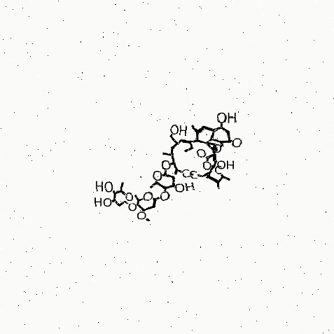 CC/C1=C\C(CO)CC(C)C(OC2CC(O)C(OC3CC(OC)C(OC4CC(O)C(O)C(C)O4)C(C)O3)C(C)O2)C(C)CCCC2(C)C=C(C)C(C)CC23OC(=O)C(=C3O)C(=O)C2(CC)C1C(C)=CC1C(O)CC(=O)C(C)C12